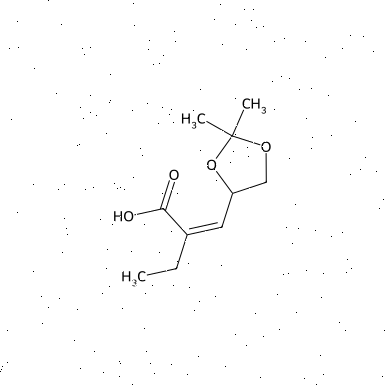 CCC(=CC1COC(C)(C)O1)C(=O)O